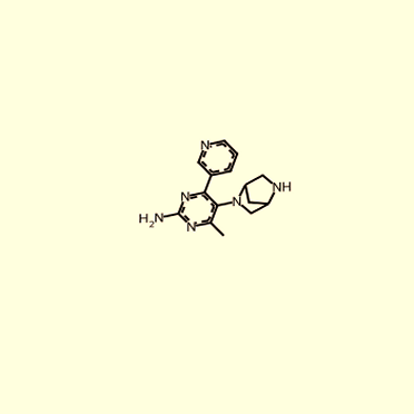 Cc1nc(N)nc(-c2cccnc2)c1N1CC2CC1CN2